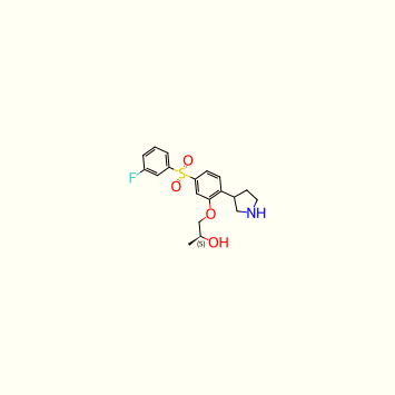 C[C@H](O)COc1cc(S(=O)(=O)c2cccc(F)c2)ccc1C1CCNC1